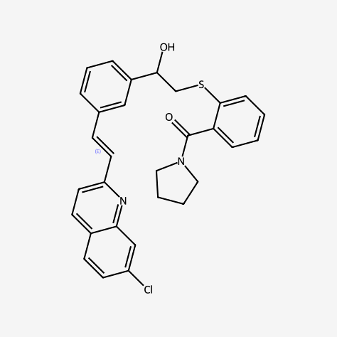 O=C(c1ccccc1SCC(O)c1cccc(/C=C/c2ccc3ccc(Cl)cc3n2)c1)N1CCCC1